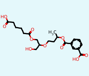 CC(CCOC(CO)COC(=O)CCCCC(=O)O)OC(=O)c1cccc(C(=O)O)c1